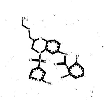 CCOCC1CN(S(=O)(=O)c2cccc(N)c2)c2cc(NC(=O)c3c(F)cccc3Cl)ccc2O1